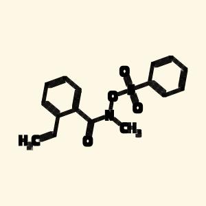 C=Cc1ccccc1C(=O)N(C)OS(=O)(=O)c1ccccc1